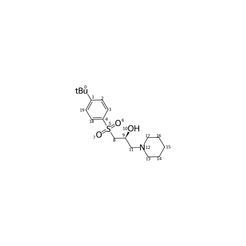 CC(C)(C)c1ccc(S(=O)(=O)C[C@@H](O)CN2CCCCC2)cc1